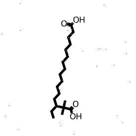 CCC(CCCCCCCCCCCCC(=O)O)C(C)(C)C(=O)O